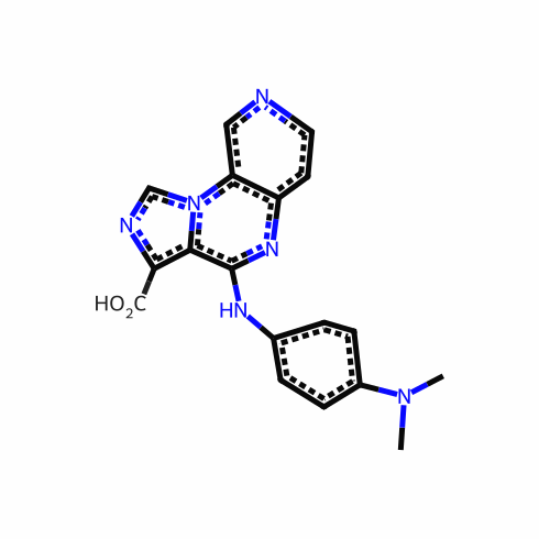 CN(C)c1ccc(Nc2nc3ccncc3n3cnc(C(=O)O)c23)cc1